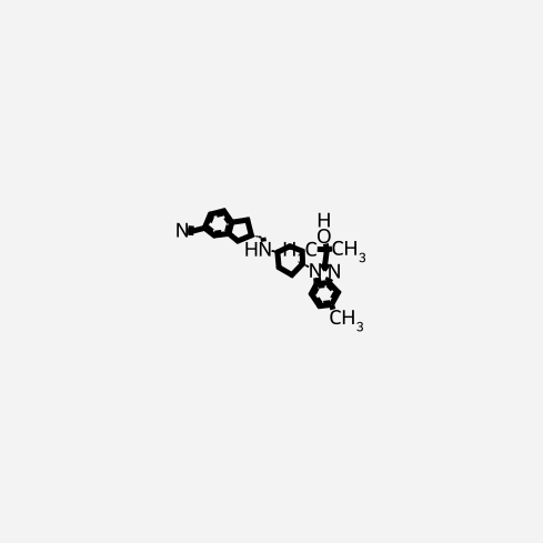 Cc1ccc2c(c1)nc(C(C)(C)O)n2[C@H]1CC[C@@H](NC[C@H]2Cc3ccc(C#N)cc3C2)CC1